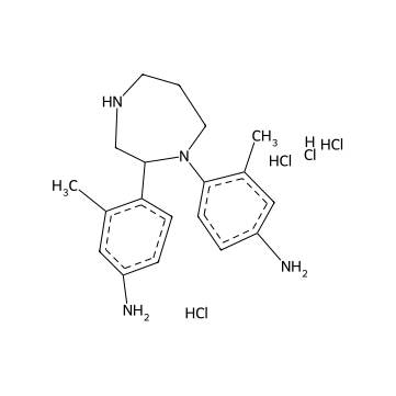 Cc1cc(N)ccc1C1CNCCCN1c1ccc(N)cc1C.Cl.Cl.Cl.Cl